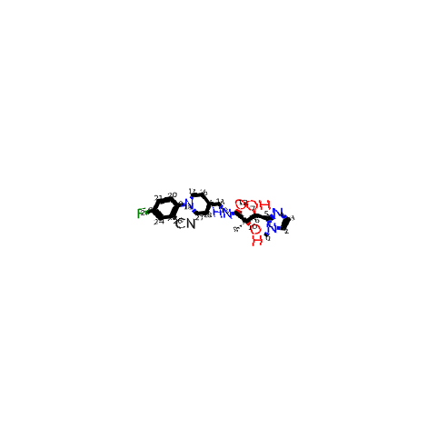 Cn1ccnc1[C@H](O)[C@@](C)(O)C(=O)NCC1CCN(c2ccc(F)cc2C#N)CC1